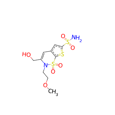 COCCN1C(CO)=Cc2cc(S(N)(=O)=O)sc2S1(=O)=O